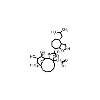 CC(C)C[C@@H]1CCC[C@H](C(=O)N[C@H]2[C@H]3O[C@H](SCCCCC2(C)C)[C@H](O)[C@@H](O)[C@H]3O)[C@@H]2ONCC12.O=CO